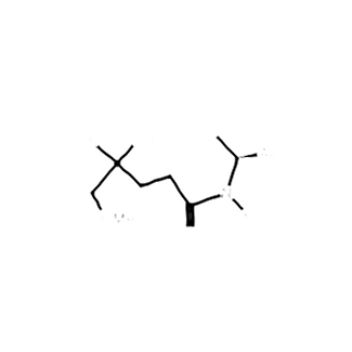 COCC(C)(S)CCC(=O)N(C)[C@@H](C)C(C)=O